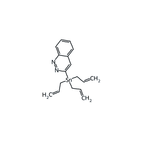 C=C[CH2][Sn]([CH2]C=C)([CH2]C=C)[c]1cc2ccccc2nn1